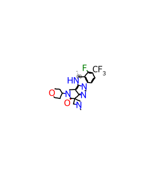 C[C@@H](Nc1ncnc2c1CN(C1CCOCC1)C(=O)C21CN(C)C1)c1cccc(C(F)(F)F)c1F